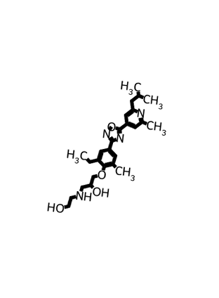 CCc1cc(-c2noc(-c3cc(C)nc(CC(C)C)c3)n2)cc(C)c1OCC(O)CNCCO